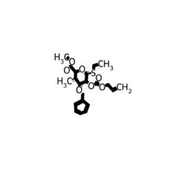 C=CCOC(=O)OC1[C@@H](OCc2ccccc2)[C@H](C)C(C(=O)OC)O[C@H]1SCC